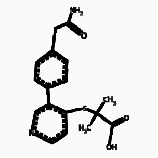 CC(C)(Sc1ccncc1-c1ccc(CC(N)=O)cc1)C(=O)O